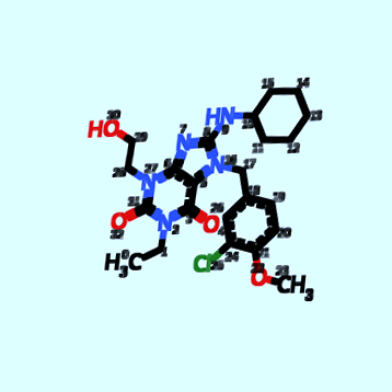 CCn1c(=O)c2c(nc(NC3CCCCC3)n2Cc2ccc(OC)c(Cl)c2)n(CCO)c1=O